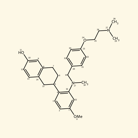 COc1ccc(C2CCc3cc(O)ccc3C2)c(N(C)Cc2ccc(OCCN(C)C)cc2)c1